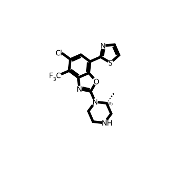 C[C@@H]1CNCCN1c1nc2c(C(F)(F)F)c(Cl)cc(-c3nccs3)c2o1